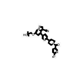 COc1ccc(C(=O)N2CC=C(c3ccc(-c4cc(OCC(C)(C)O)cn5ncc(C#N)c45)cn3)CC2)cn1